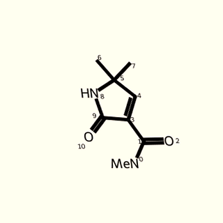 CNC(=O)C1=CC(C)(C)NC1=O